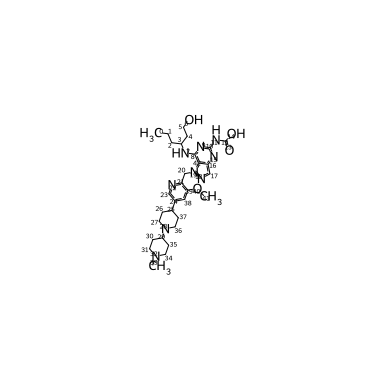 CCCC(CCO)Nc1nc(NC(=O)O)nc2cnn(Cc3ncc(C4CCN(C5CCN(C)CC5)CC4)cc3OC)c12